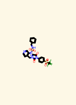 O=C1CN(Cc2ccncc2NS(=O)(=O)NCc2ccccc2)C(=O)N1c1ccc(S(=O)(=O)C(F)(F)F)cc1